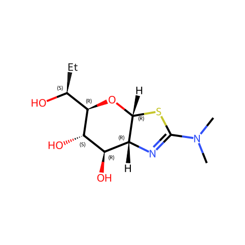 CC[C@H](O)[C@H]1O[C@@H]2SC(N(C)C)=N[C@@H]2[C@@H](O)[C@@H]1O